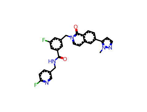 Cn1nccc1-c1ccc2c(=O)n(Cc3cc(F)cc(C(=O)NCc4ccc(F)nc4)c3)ccc2c1